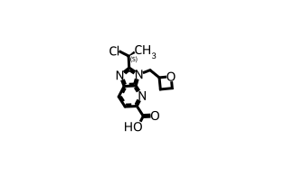 C[C@H](Cl)c1nc2ccc(C(=O)O)nc2n1CC1CCO1